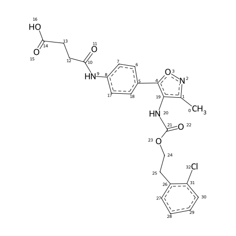 Cc1noc(-c2ccc(NC(=O)CCC(=O)O)cc2)c1NC(=O)OCCc1ccccc1Cl